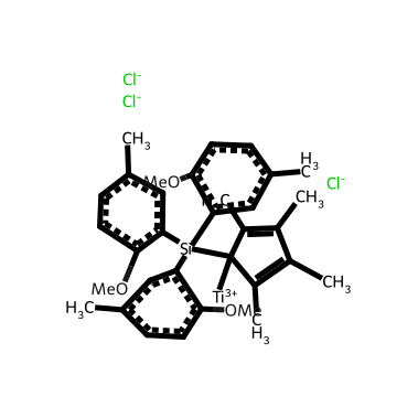 COc1ccc(C)cc1[Si](c1cc(C)ccc1OC)(c1cc(C)ccc1OC)[C]1([Ti+3])C(C)=C(C)C(C)=C1C.[Cl-].[Cl-].[Cl-]